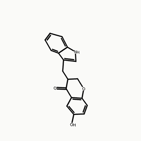 O=C1c2cc(O)ccc2OCC1Cc1c[nH]c2ccccc12